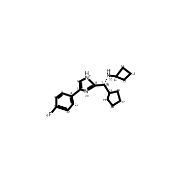 Fc1ccc(-c2c[nH]c([C@H](NC3CCC3)C3CCCC3)n2)cc1